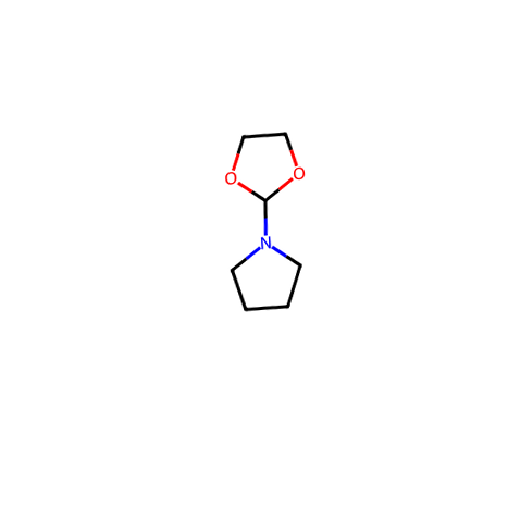 C1CCN(C2OCCO2)C1